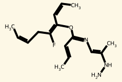 C/C=C\C/C(F)=C(\C=C/C)OC(/C=C/C)=N/C=C(\C)NN